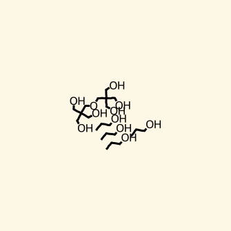 CCCO.CCCO.CCCO.CCCO.OCC(CO)(CO)COCC(CO)(CO)CO